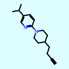 C#CCCC1CCN(c2ccc(C(C)C)cn2)CC1